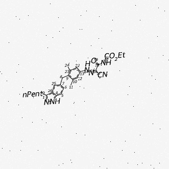 CCCCCc1n[nH]c2ccc(Cc3c(C)cc(NN=C(C#N)C(=O)NC(=O)OCC)cc3C)cc12